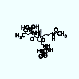 CC(=O)NCCCC(=O)N[C@@H](CCCNC(=N)N[N+](=O)[O-])C(=O)N[C@@H](CC(C)C)B(O)O